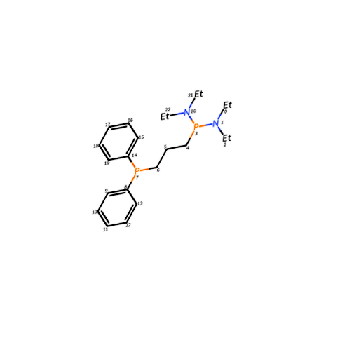 CCN(CC)P(CCCP(c1ccccc1)c1ccccc1)N(CC)CC